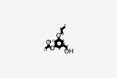 CCCOc1cc(CO)cc(OC(C)=O)c1